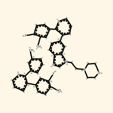 Cc1cc(-c2ncccc2-c2ccc3ncn(CCN4CCOCC4)c3c2)ccc1F.Cc1cccc(-c2ncccc2-c2ccc([N+](=O)[O-])c(F)c2)c1